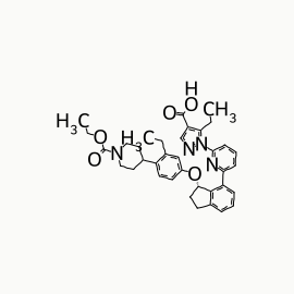 CCOC(=O)N1CCC(c2ccc(O[C@H]3CCc4cccc(-c5cccc(-n6ncc(C(=O)O)c6CC)n5)c43)cc2CC)CC1